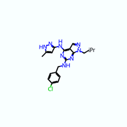 Cc1cc(Nc2nc(NCc3ccc(Cl)cc3)nc3c2cnn3CC(C)C)n[nH]1